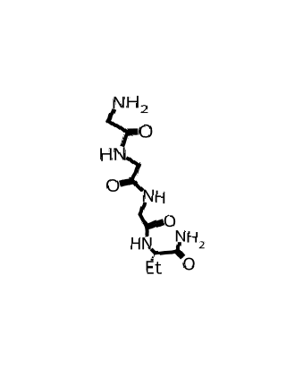 CC[C@H](NC(=O)CNC(=O)CNC(=O)CN)C(N)=O